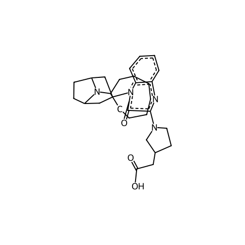 O=C(O)CC1CCN(c2nc3ccccc3n(C3CC4CCC(C3)N4C3CCCCCCC3)c2=O)C1